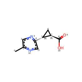 Cc1cnc([C@@H]2C[C@H]2C(=O)O)cn1